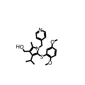 COc1ccc(OC)c(Sc2c(C(C)C)c(CO)c(C)n2Cc2ccncc2)c1